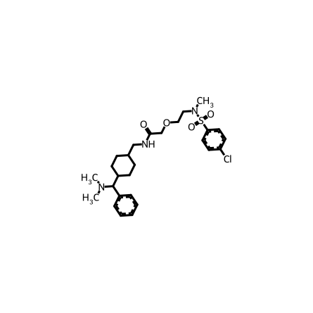 CN(C)C(c1ccccc1)C1CCC(CNC(=O)COCCN(C)S(=O)(=O)c2ccc(Cl)cc2)CC1